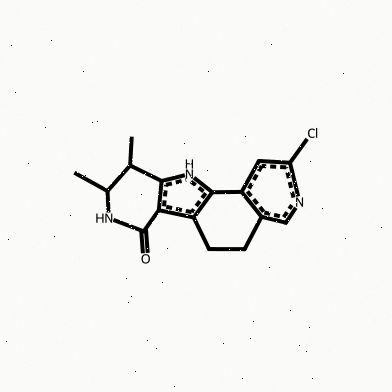 CC1NC(=O)c2c([nH]c3c2CCc2cnc(Cl)cc2-3)C1C